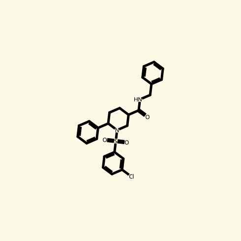 O=C(NCc1ccccc1)C1CCC(c2ccccc2)N(S(=O)(=O)c2cccc(Cl)c2)C1